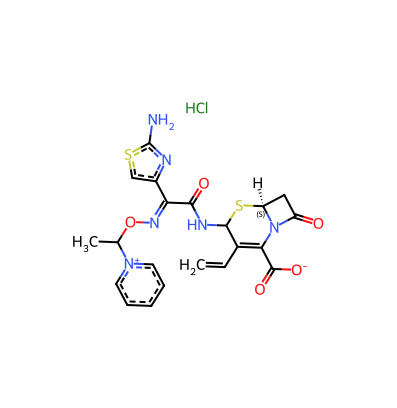 C=CC1=C(C(=O)[O-])N2C(=O)C[C@@H]2SC1NC(=O)C(=NOC(C)[n+]1ccccc1)c1csc(N)n1.Cl